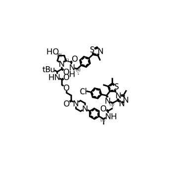 Cc1ncsc1-c1ccc([C@H](C)NC(=O)[C@@H]2C[C@@H](O)CN2C(=O)C(NC(=O)COCCC(=O)N2CCN(c3ccc([C@H](C)NC(=O)C[C@@H]4N=C(c5ccc(Cl)cc5)c5c(sc(C)c5C)-n5c(C)nnc54)cc3)CC2)C(C)(C)C)cc1